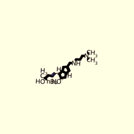 CCCC[C@](C)(O)C/C=C/[C@@H]1[C@H]2CC(CNCCCN(C)C)=C[C@H]2C[C@H]1O